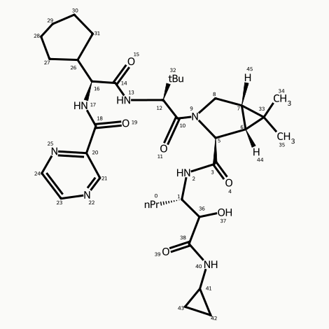 CCC[C@H](NC(=O)[C@@H]1[C@@H]2[C@H](CN1C(=O)[C@@H](NC(=O)[C@@H](NC(=O)c1cnccn1)C1CCCCC1)C(C)(C)C)C2(C)C)C(O)C(=O)NC1CC1